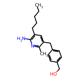 CCCCCc1cc(Cc2ccc(CO)cc2)c(C)nc1N